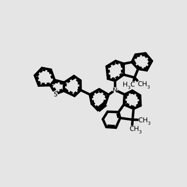 CC1(C)C2=C(CCC=C2)c2c(N(c3c#ccc(-c4ccc5c(c4)sc4ccccc45)c3)c3cccc4c3C(C)(C)c3ccccc3-4)cccc21